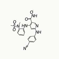 CONC(=O)c1cnc(Nc2ccc(C#N)cc2)cc1Nc1ccccc1N(C)S(C)(=O)=O